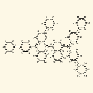 c1ccc(-c2ccc(N(c3ccc(-c4ccccc4)cc3)c3cccc4c3Oc3ccc(N(c5ccc(-c6ccccc6)cc5)c5ccc(-c6ccccc6)cc5)c5cccc-4c35)cc2)cc1